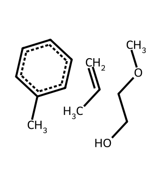 C=CC.COCCO.Cc1ccccc1